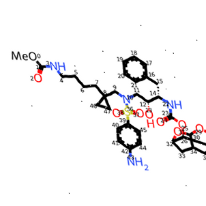 COC(=O)NCCCCC1(CN(C[C@@H](O)[C@H](Cc2ccccc2)NC(=O)O[C@H]2C3COC4OC2CC4C3)S(=O)(=O)c2ccc(N)cc2)CC1